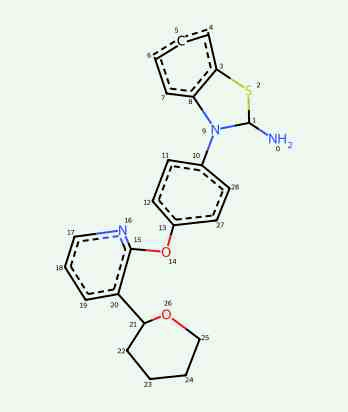 NC1Sc2ccccc2N1c1ccc(Oc2ncccc2C2CCCCO2)cc1